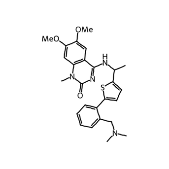 COc1cc2c(NC(C)c3ccc(-c4ccccc4CN(C)C)s3)nc(=O)n(C)c2cc1OC